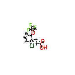 O=C(O)CCc1c(Cl)cccc1OC(F)(F)F